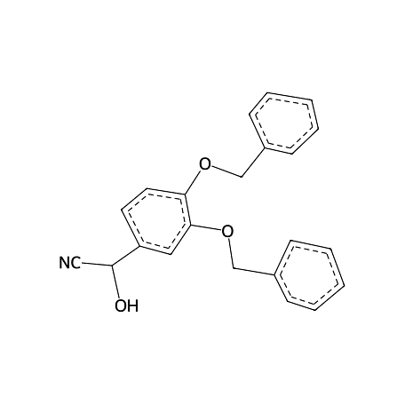 N#CC(O)c1ccc(OCc2ccccc2)c(OCc2ccccc2)c1